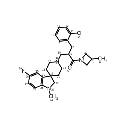 CC1CN(C(=O)C(Cc2ccccc2Cl)CN2CCC3(CC2)CN(C)c2ccc(F)cc23)C1